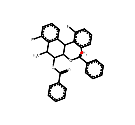 Cc1cccc(F)c1C1c2cccc(F)c2C(C)C(OC(=O)c2ccccc2)C1OC(=O)c1ccccc1